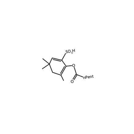 CCCCCC(=O)OC1=C(C)CC(C)(C)C=C1S(=O)(=O)O